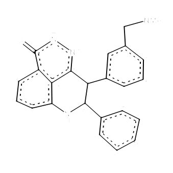 CNCc1cccc(C2c3n[nH]c(=O)c4cccc(c34)NC2c2ccccc2)c1